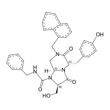 O=C1[C@H](Cc2ccc(O)cc2)N2C(=O)[C@@H](CO)N(C(=O)NCc3ccccc3)[C@H]2CN1Cc1cccc2ccccc12